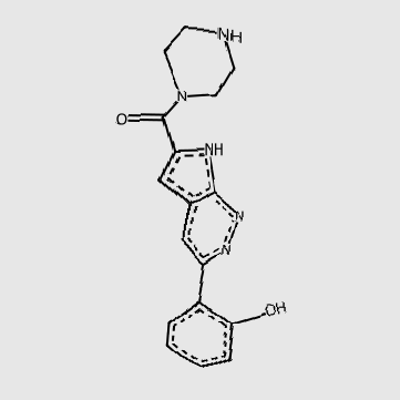 O=C(c1cc2cc(-c3ccccc3O)nnc2[nH]1)N1CCNCC1